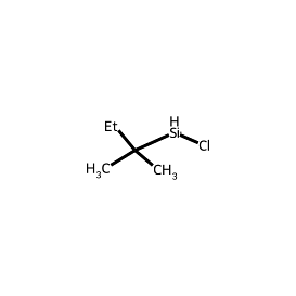 CCC(C)(C)[SiH]Cl